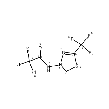 O=C(NN1CSC(C(F)(F)F)=N1)C(F)(F)Cl